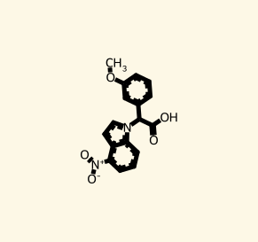 COc1cccc(C(C(=O)O)n2ccc3c([N+](=O)[O-])cccc32)c1